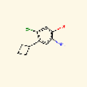 Nc1cc(C2CCC2)c(Cl)cc1O